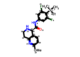 CC[Si](C)(C)c1c(F)cc(NC(=O)[C@@H]2NCCc3nc(OC)ccc32)cc1F